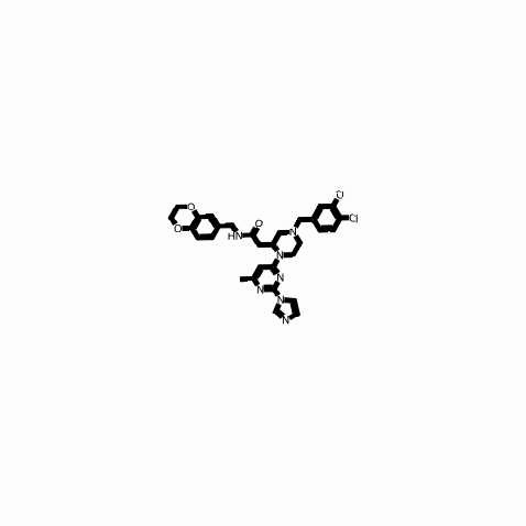 Cc1cc(N2CCN(Cc3ccc(Cl)c(Cl)c3)CC2CC(=O)NCc2ccc3c(c2)OCCO3)nc(-n2ccnc2)n1